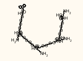 NCCCCC(NC(=O)CCOCCOCCOCCOCCNC(=O)C(CCCCN)NC(=O)CCOCCOCCOCCOCCCC(=O)C(CCCCN)NC(=O)CCOCCOCCOCCOCCNC(=O)C(CCCCN)NC(=O)CCOCCOCCOCCOCCNC(=O)OCC1c2ccccc2-c2ccccc21)C(=O)O